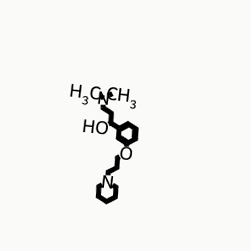 CN(C)CCC(O)c1cccc(OCCCN2CCCCC2)c1